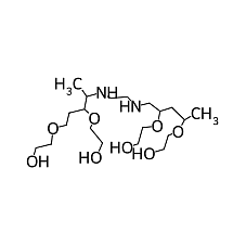 CC(CC(CNCCNC(C)C(CCOCCO)OCCO)OCCO)OCCO